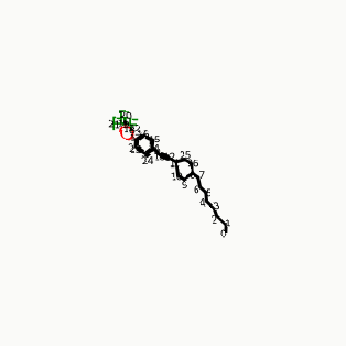 CCCCCCCCC1CCC(C#Cc2ccc(OC(F)(F)F)cc2)CC1